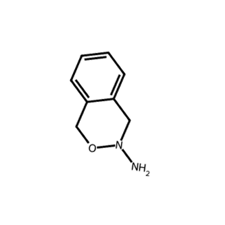 NN1Cc2ccccc2CO1